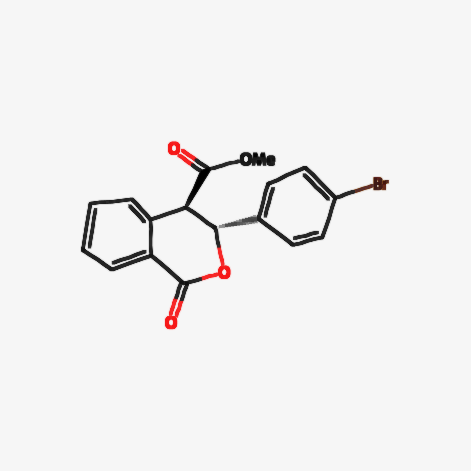 COC(=O)[C@@H]1c2ccccc2C(=O)O[C@H]1c1ccc(Br)cc1